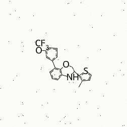 Cc1ccsc1C1COc2c(cccc2-c2cccc(OC(F)(F)F)c2)N1